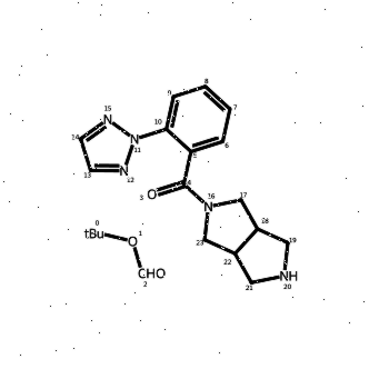 CC(C)(C)OC=O.O=C(c1ccccc1-n1nccn1)N1CC2CNCC2C1